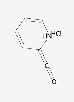 Cl.O=C=C1C=CC=CN1